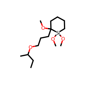 CCC(C)OCCCC1(OC)CCCC[Si]1(OC)OC